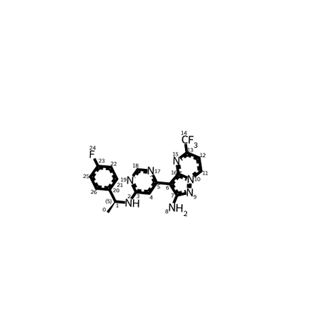 C[C@H](Nc1cc(-c2c(N)nn3ccc(C(F)(F)F)nc23)ncn1)c1ccc(F)cc1